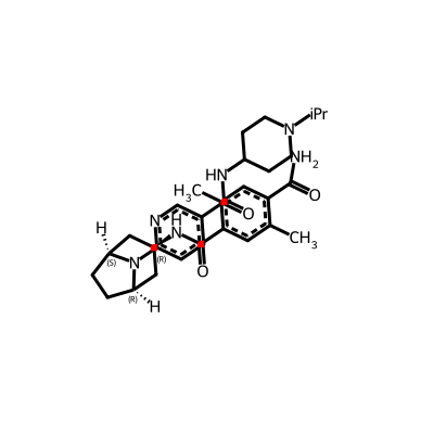 Cc1cc(C(=O)N[C@H]2C[C@H]3CC[C@@H](C2)N3c2ccc(C(=O)NC3CCN(C(C)C)CC3)cn2)c(C)cc1C(N)=O